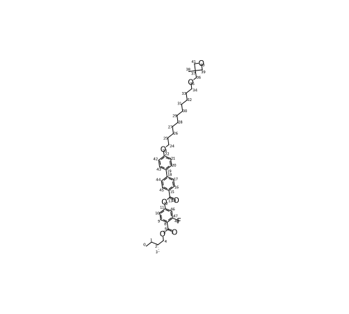 CC[C@@H](C)COC(=O)c1ccc(OC(=O)c2ccc(-c3ccc(OCCCCCCCCCCCOCC4(C)COC4)cc3)cc2)cc1F